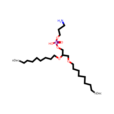 CCCCCCCCCCCCCCCCCCOCC(COP(=O)(O)OCCCN)OCCCCCCCCCCCCCCCCCC